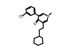 Cn1cc(CCC2CCCCC2)c(=O)c(-c2cccc(Cl)c2)c1